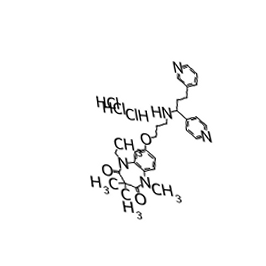 CCN1C(=O)C(C)(C)C(=O)N(C)c2ccc(OCCCNC(CCc3cccnc3)c3ccncc3)cc21.Cl.Cl.Cl